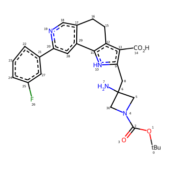 CC(C)(C)OC(=O)N1CC(N)(Cc2[nH]c3c(c2C(=O)O)CCc2cnc(-c4cccc(F)c4)cc2-3)C1